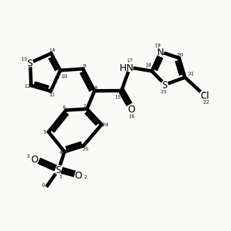 CS(=O)(=O)c1ccc(/C(=C\c2ccsc2)C(=O)Nc2ncc(Cl)s2)cc1